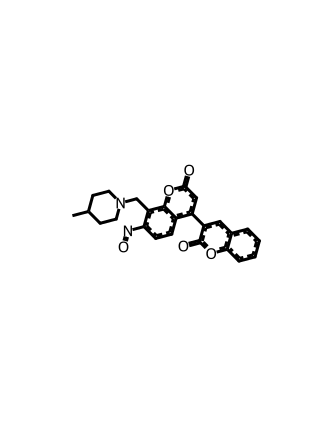 CC1CCN(Cc2c(N=O)ccc3c(-c4cc5ccccc5oc4=O)cc(=O)oc23)CC1